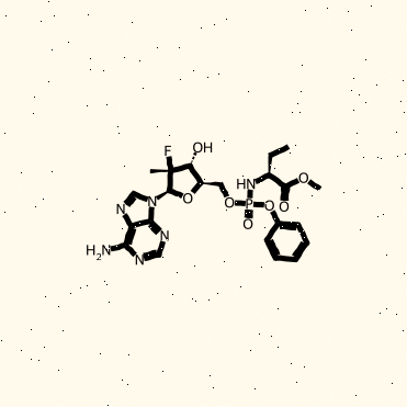 CC[C@H](NP(=O)(OC[C@H]1O[C@@H](n2cnc3c(N)ncnc32)[C@](C)(F)[C@@H]1O)Oc1ccccc1)C(=O)OC